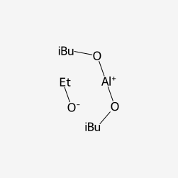 CCC(C)[O][Al+][O]C(C)CC.CC[O-]